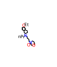 CCCN(CCCCN1CCCOCC1=O)C1CCc2cc(OCC)ccc2C1